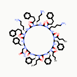 CC(C)CCC(=O)N1C(=O)N[C@@H](Cc2ccccc2)N(C(=O)CCC(C)C)C(=O)N[C@H](Cc2ccccc2)N(C(=O)CCC(C)C)C(=O)NC(CCCCN)N(C(=O)CCc2ccccc2)C(=O)N[C@@H](CCCCN)N(C(=O)CCc2ccccc2)C(=O)N[C@@H](CCCCN)N(C(=O)CCc2ccccc2)C(=O)N[C@@H](Cc2ccccc2)N(CC(N)=O)C(=O)C(=O)N[C@H]1Cc1ccccc1